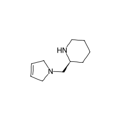 C1=CCN(C[C@@H]2CCCCN2)C1